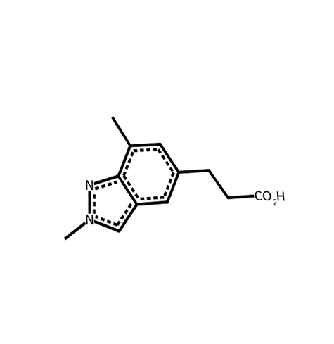 Cc1cc(CCC(=O)O)cc2cn(C)nc12